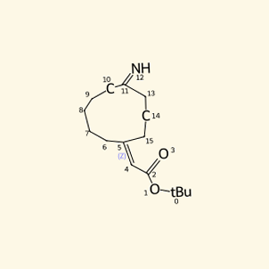 CC(C)(C)OC(=O)/C=C1/CCCCCC(=N)CCC1